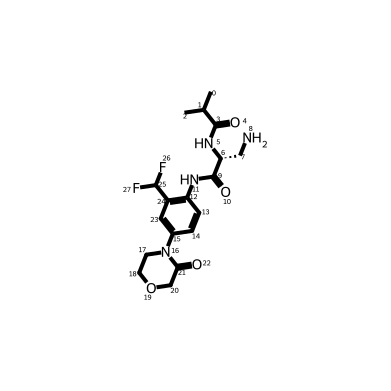 CC(C)C(=O)N[C@H](CN)C(=O)Nc1ccc(N2CCOCC2=O)cc1C(F)F